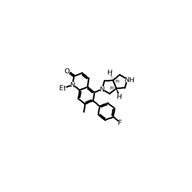 CCn1c(=O)ccc2c(N3C[C@H]4CNC[C@@H]4C3)c(-c3ccc(F)cc3)c(C)cc21